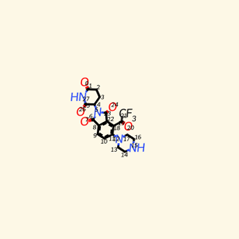 O=C1CCC(N2C(=O)c3ccc(N4CCNCC4)c(C(=O)C(F)(F)F)c3C2=O)C(=O)N1